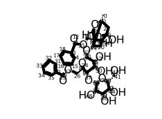 C[C@@]12C[C@@]3(O)O[C@@H](O1)[C@]1(COC(=O)c4ccccc4)[C@H]3C[C@@]12O[C@@H]1O[C@H](COC(=O)c2ccccc2)[C@@H](O[C@@H]2O[C@H](CO)[C@@H](O)[C@H](O)[C@H]2O)[C@H](O)[C@H]1O